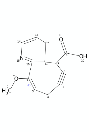 CO/C1=C/CC#CC(C(=O)O)C2CC=CN=C12